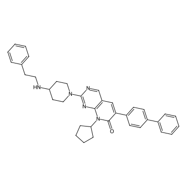 O=c1c(-c2ccc(-c3ccccc3)cc2)cc2cnc(N3CCC(NCCc4ccccc4)CC3)nc2n1C1CCCC1